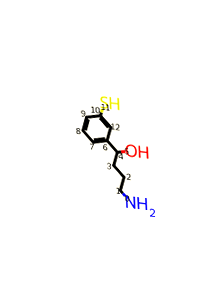 NCCCC(O)c1cccc(S)c1